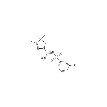 CC1=NN(/C(N)=N/S(=O)(=O)c2cccc(Cl)c2)CC1(C)C